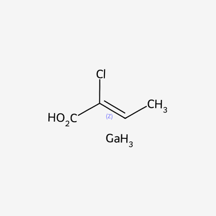 C/C=C(\Cl)C(=O)O.[GaH3]